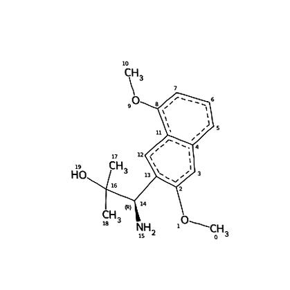 COc1cc2cccc(OC)c2cc1[C@@H](N)C(C)(C)O